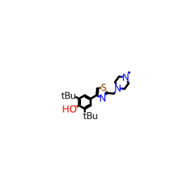 CN1CCN(Cc2nc(-c3cc(C(C)(C)C)c(O)c(C(C)(C)C)c3)cs2)CC1